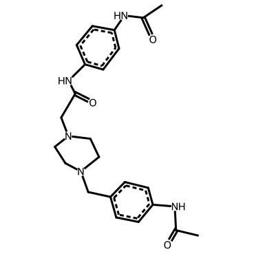 CC(=O)Nc1ccc(CN2CCN(CC(=O)Nc3ccc(NC(C)=O)cc3)CC2)cc1